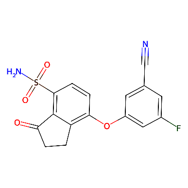 N#Cc1cc(F)cc(Oc2ccc(S(N)(=O)=O)c3c2CCC3=O)c1